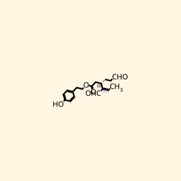 C/C=C(/C=O)[C@@H](CCC=O)CC(=O)OCCc1ccc(O)cc1